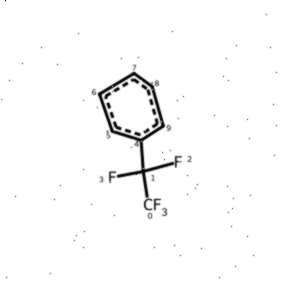 FC(F)(F)C(F)(F)c1[c]cc[c]c1